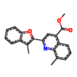 COC(=O)c1cc(-c2oc3ccccc3c2C)nc2c(C)cccc12